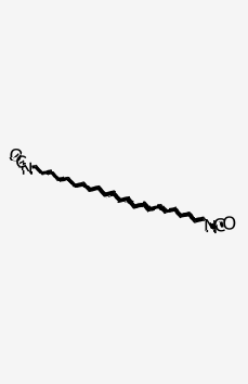 O=C=NCCCCCCCCCCCCCCCCCCCCCCCN=C=O